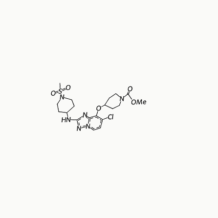 COC(=O)N1CCC(Oc2c(Cl)ccn3nc(NC4CCN(S(C)(=O)=O)CC4)nc23)CC1